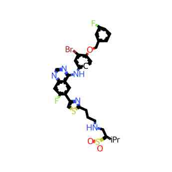 CC(C)C(CNCCCc1nc(-c2cc3c(Nc4ccc(OCc5cccc(F)c5)c(Br)c4)ncnc3cc2F)cs1)=S(=O)=O